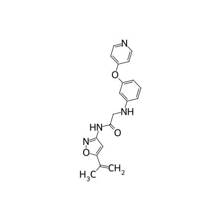 C=C(C)c1cc(NC(=O)CNc2cccc(Oc3ccncc3)c2)no1